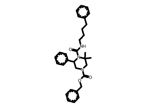 CC1(C)CN(C(=O)OCc2ccccc2)CC(c2ccccc2)N1C(=O)NCCCCc1ccccc1